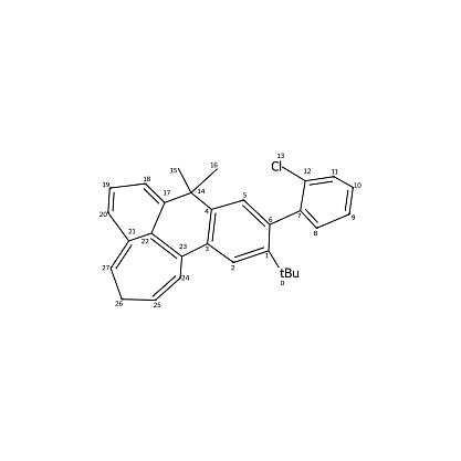 CC(C)(C)c1cc2c(cc1-c1ccccc1Cl)C(C)(C)c1cccc3c1=C2C=CCC=3